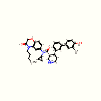 COCCCN1C(=O)COc2ccc(N(C(=O)[C@H]3CNCC[C@@H]3c3cccc(-c4ccc(O)c(C(C)=O)c4)c3)C3CC3)cc21